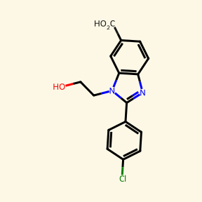 O=C(O)c1ccc2nc(-c3ccc(Cl)cc3)n(CCO)c2c1